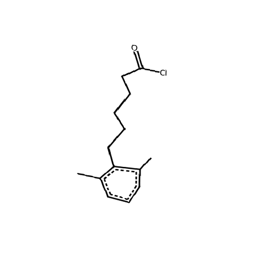 Cc1cccc(C)c1CCCCCC(=O)Cl